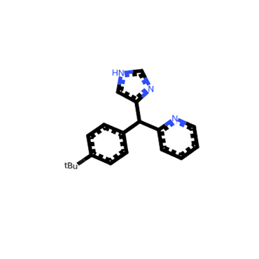 CC(C)(C)c1ccc(C(c2ccccn2)c2c[nH]cn2)cc1